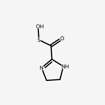 O=C(SO)C1=NCCN1